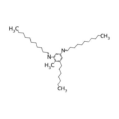 CCCCCCCCCCC=Nc1cc(CCCCCCC)c(C)c(N=CCCCCCCCCCC)c1